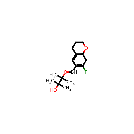 CC(C)(O)C(C)(C)OBC1=C(F)CC2OCCCC2=C1